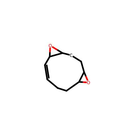 C1=CC2OC2CCC2OC2CC1